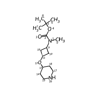 CN(C(=O)OC(C)(C)C)C1CC(OC2CCNCC2)C1